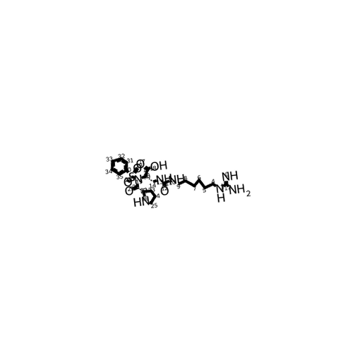 N=C(N)NCCCCCCNC(=O)NC[C@@H](C(=O)O)N(C(=O)[C@@H]1CCCN1)S(=O)(=O)c1ccccc1